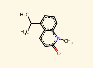 CC(C)c1cccc2c1ccc(=O)n2C